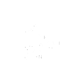 CCS(=O)(=O)c1ccc(Oc2ccc(F)cc2F)c(-c2cn(C)c(=O)c3cnccc23)c1